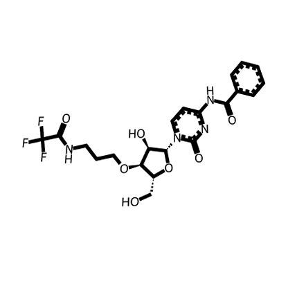 O=C(Nc1ccn([C@@H]2O[C@H](CO)[C@@H](OCCCNC(=O)C(F)(F)F)[C@H]2O)c(=O)n1)c1ccccc1